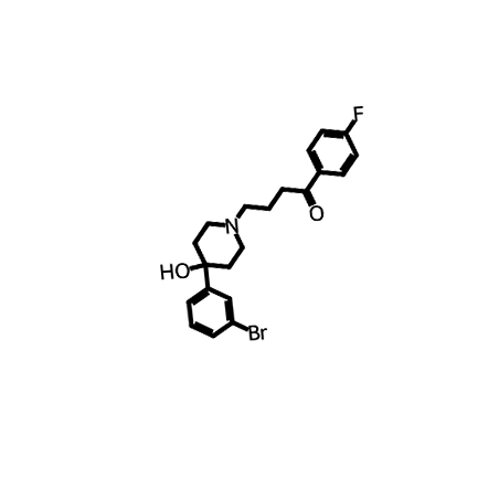 O=C(CCCN1CCC(O)(c2cccc(Br)c2)CC1)c1ccc(F)cc1